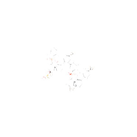 O=P(Oc1cc(Br)ccc1-c1ccc(Br)cc1)(c1ccccc1)c1ccccc1.O=P(Oc1cc(Br)ccc1-c1ccc(Br)cc1)(c1ccccc1)c1ccccc1.O=S=O